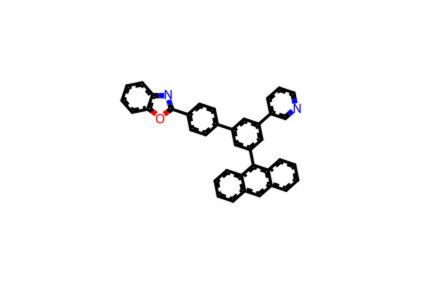 c1cncc(-c2cc(-c3ccc(-c4nc5ccccc5o4)cc3)cc(-c3c4ccccc4cc4ccccc34)c2)c1